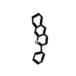 c1ccc(-c2ccc3cc4ccccc4cc3n2)cc1